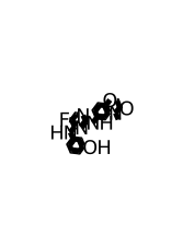 CN1C(=O)COc2ccc(Nc3ncc(F)c(Nc4cccc(O)c4)n3)cc21